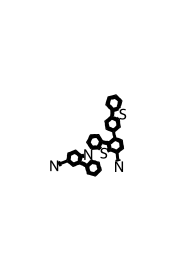 N#Cc1ccc2c(c1)c1ccccc1n2-c1cccc2c1sc1c(C#N)ccc(-c3ccc4c(c3)sc3ccccc34)c12